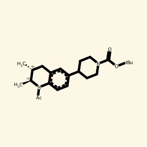 CC(=O)N1c2ccc(C3CCN(C(=O)OC(C)(C)C)CC3)cc2C[C@@H](C)[C@@H]1C